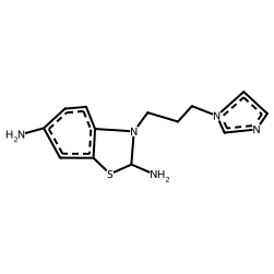 Nc1ccc2c(c1)SC(N)N2CCCn1ccnc1